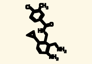 Cc1cc(C(=O)NCc2c(C3CC3)ccc(N)c2CN)ccc1Cl